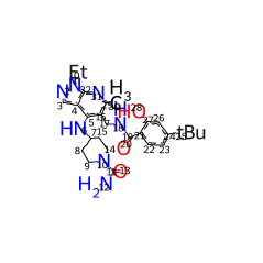 CCn1ncc2c(NC3CCN(C(N)=O)CC3)c(CNC(=O)c3ccc(C(C)(C)C)cc3O)c(C)nc21